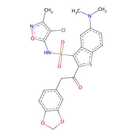 Cc1noc(NS(=O)(=O)c2c(C(=O)Cc3ccc4c(c3)OCO4)sc3ccc(N(C)C)cc23)c1Cl